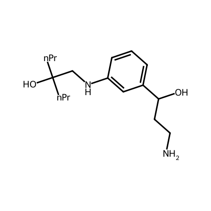 CCCC(O)(CCC)CNc1cccc(C(O)CCN)c1